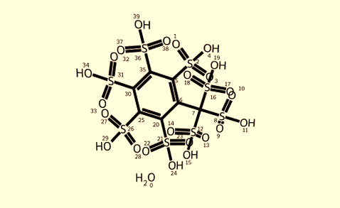 O.O=S(=O)(O)c1c(C(S(=O)(=O)O)(S(=O)(=O)O)S(=O)(=O)O)c(S(=O)(=O)O)c(S(=O)(=O)O)c(S(=O)(=O)O)c1S(=O)(=O)O